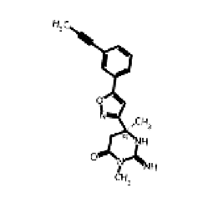 CC#Cc1cccc(-c2cc([C@]3(C)CC(=O)N(C)C(=N)N3)no2)c1